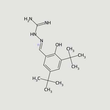 CC(C)(C)c1cc(/C=N/NC(=N)N)c(O)c(C(C)(C)C)c1